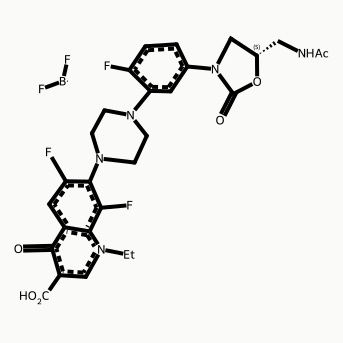 CCn1cc(C(=O)O)c(=O)c2cc(F)c(N3CCN(c4cc(N5C[C@H](CNC(C)=O)OC5=O)ccc4F)CC3)c(F)c21.F[B]F